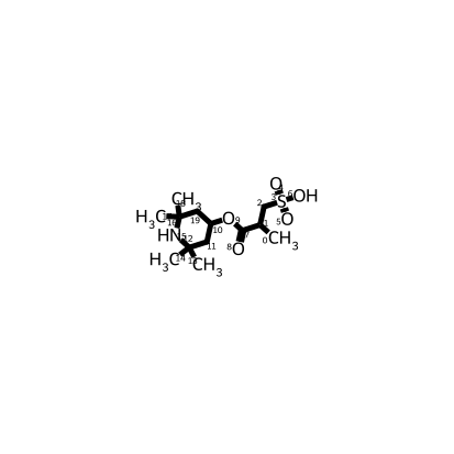 CC(CS(=O)(=O)O)C(=O)OC1CC(C)(C)NC(C)(C)C1